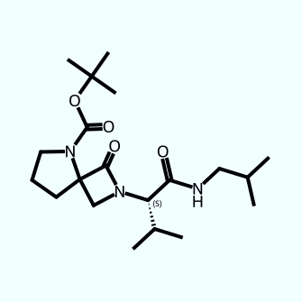 CC(C)CNC(=O)[C@H](C(C)C)N1CC2(CCCN2C(=O)OC(C)(C)C)C1=O